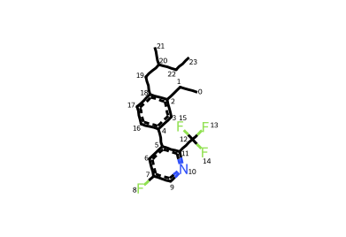 CCc1cc(-c2cc(F)cnc2C(F)(F)F)ccc1CC(C)CC